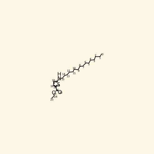 CCCCCCCCCCCCCCCCNc1ccc(C(=O)OCC)s1